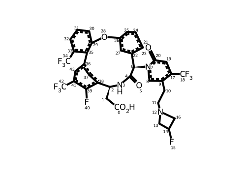 O=C(O)C[C@@H]1NC(=O)[C@H](n2cc(CCN3CC(F)C3)c(C(F)(F)F)cc2=O)c2cccc(c2)Oc2cccc(C(F)(F)F)c2-c2cc1c(F)c(C(F)(F)F)c2